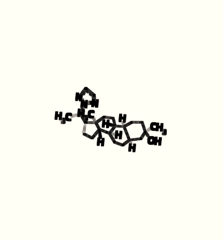 C[C@@H]([C@H]1CC[C@H]2[C@@H]3CC[C@@H]4C[C@](C)(O)CC[C@@H]4[C@H]3CC[C@]12C)n1nccn1